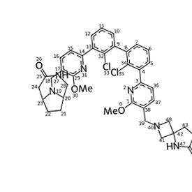 COc1nc(-c2cccc(-c3cccc(-c4ccc(CN5C6CCC5CC(=O)NC6)c(OC)n4)c3Cl)c2Cl)ccc1CN1CC2(CCC(=O)N2)C1